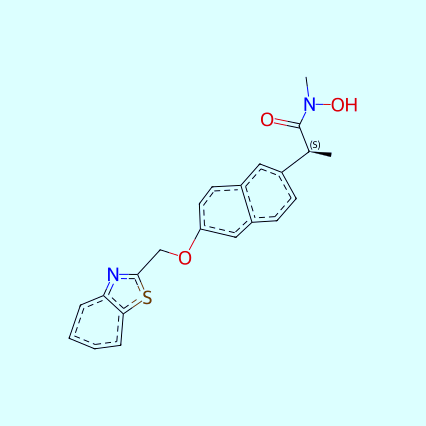 C[C@H](C(=O)N(C)O)c1ccc2cc(OCc3nc4ccccc4s3)ccc2c1